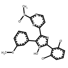 CSc1cccc(-c2c(-c3ccnc([S+](C)[O-])n3)nc(-c3c(Cl)cccc3Cl)n2O)c1